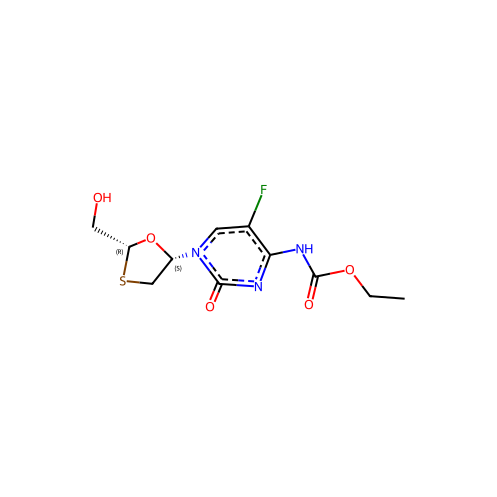 CCOC(=O)Nc1nc(=O)n([C@@H]2CS[C@H](CO)O2)cc1F